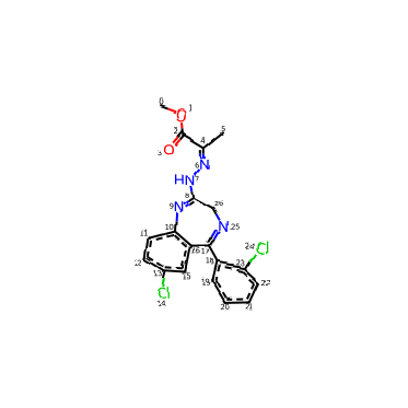 COC(=O)C(C)=NNC1=Nc2ccc(Cl)cc2C(c2ccccc2Cl)=NC1